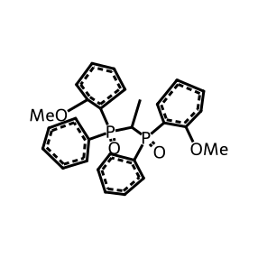 COc1ccccc1P(=O)(c1ccccc1)C(C)P(=O)(c1ccccc1)c1ccccc1OC